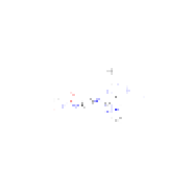 Cc1nc(N)cc(-c2c(Nc3ccc(NC(=O)N4CCOCC4)cc3)nc3ccccn23)n1